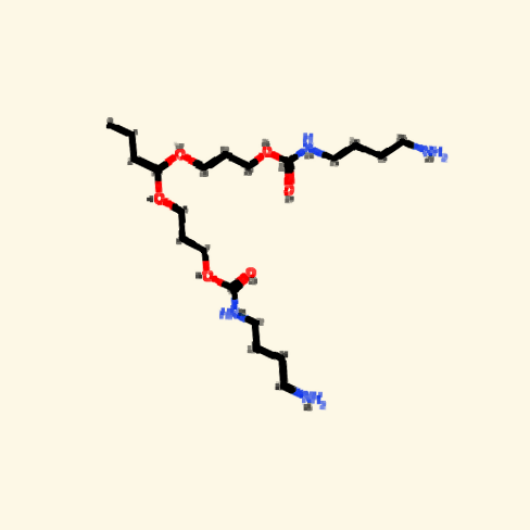 CCCC(OCCCOC(=O)NCCCCN)OCCCOC(=O)NCCCCN